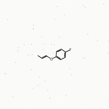 CC=COc1ccc(F)cc1